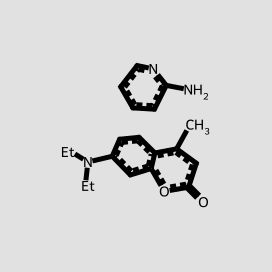 CCN(CC)c1ccc2c(C)cc(=O)oc2c1.Nc1ccccn1